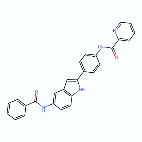 O=C(Nc1ccc2[nH]c(-c3ccc(NC(=O)c4ccccn4)cc3)cc2c1)c1ccccc1